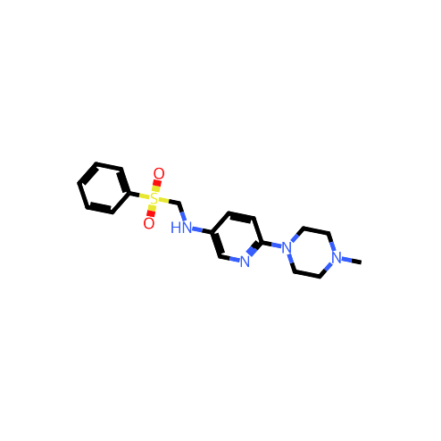 CN1CCN(c2ccc(NCS(=O)(=O)c3ccccc3)cn2)CC1